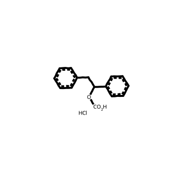 Cl.O=C(O)OC(Cc1ccccc1)c1ccccc1